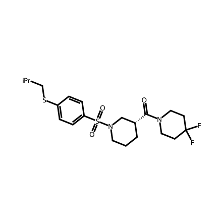 CC(C)CSc1ccc(S(=O)(=O)N2CCC[C@@H](C(=O)N3CCC(F)(F)CC3)C2)cc1